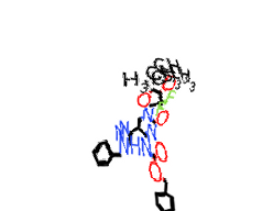 CC[C@H]1O[C@@H](n2cc(-c3cn(Cc4ccccc4)nn3)c(NC(=O)OCc3ccccc3)nc2=O)C(F)(F)C1O[Si](C)(C)C